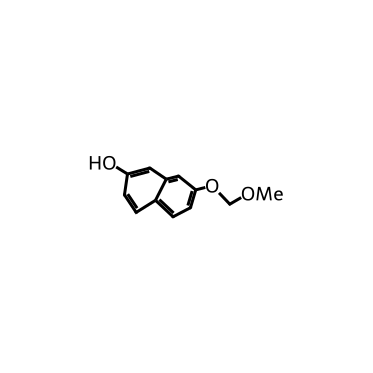 COCOc1ccc2ccc(O)cc2c1